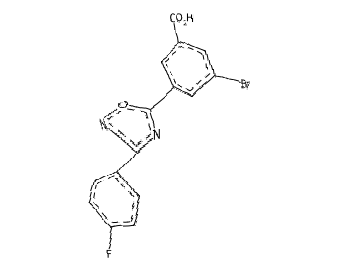 O=C(O)c1cc(Br)cc(-c2nc(-c3ccc(F)cc3)no2)c1